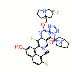 C#Cc1c(F)ccc2cc(O)cc(-c3ncc4c(N5CC6CCC(C5)N6C(=O)n5cncn5)nc(OC[C@@]56CCCN5C[C@H](F)C6)nc4c3F)c12